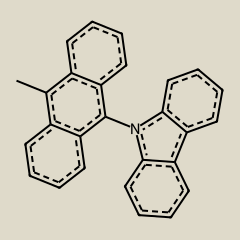 Cc1c2ccccc2c(-n2c3ccccc3c3ccccc32)c2ccccc12